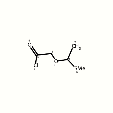 CSC(C)OCC(=O)Cl